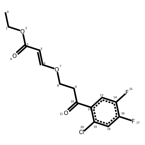 CCOC(=O)C=COCCC(=O)c1cc(F)c(F)cc1Cl